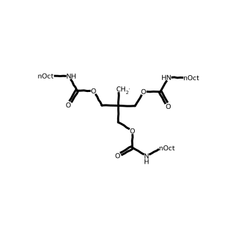 [CH2]C(COC(=O)NCCCCCCCC)(COC(=O)NCCCCCCCC)COC(=O)NCCCCCCCC